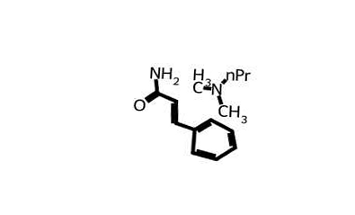 CCCN(C)C.NC(=O)C=Cc1ccccc1